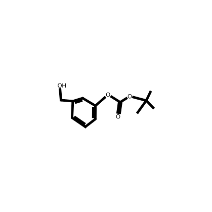 CC(C)(C)OC(=O)Oc1c[c]cc(CO)c1